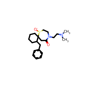 CN(C)CCN1CC[S+]([O-])C2(CCCCC2Cc2ccccc2)CC1=O